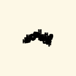 CP(C)(=O)c1cc(F)ccc1Nc1nc(Nc2ccc3c(c2)CC[C@@H](N2CC[C@@H]4C[C@@H]42)CC3)ncc1Cl